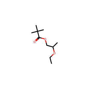 CCOC(C)COC(=O)C(C)(C)C